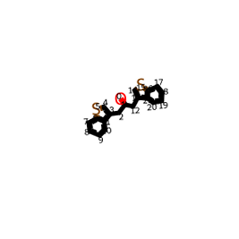 O=C(Cc1csc2ccccc12)Cc1csc2ccccc12